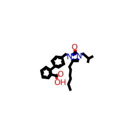 CCCCCCc1cn(CC(C)C)c(=O)n1Cc1ccc(-c2ccccc2C(=O)O)cc1